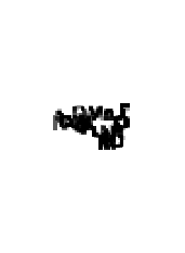 COc1nc(/C=C/c2nc3n(n2)CCCN3c2ccc(F)cc2)ccc1-n1cnc(C)c1